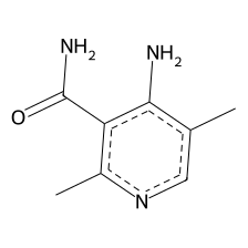 Cc1cnc(C)c(C(N)=O)c1N